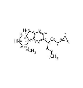 CCCC(OCC1CC1)c1ccc2c(n1)N1[C@@H](CNC[C@H]1C)C2